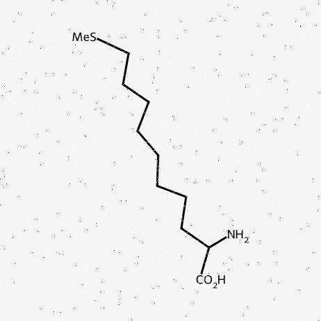 CSCCCCCCCCC(N)C(=O)O